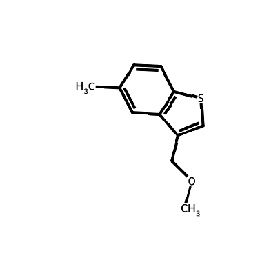 COCc1csc2ccc(C)cc12